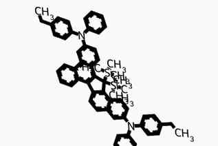 CCc1ccc(N(c2ccccc2)c2ccc3c4c(ccc3c2)-c2c(c3ccc(N(c5ccccc5)c5ccc(CC)cc5)cc3c3ccccc23)C4([Si](C)(C)C)[Si](C)(C)C)cc1